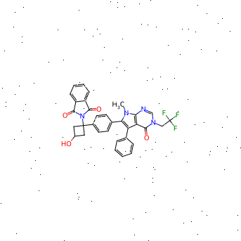 Cn1c(-c2ccc(C3(N4C(=O)c5ccccc5C4=O)CC(O)C3)cc2)c(-c2ccccc2)c2c(=O)n(CC(F)(F)F)cnc21